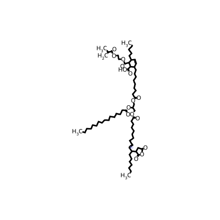 C=C(C)C(=O)OCCOC(=O)C1C(CCCCC)C=CC(CCCCCCCCC(=O)OCC(COC(=O)CCCCCCC/C=C/C(CCCCCCC)C2CC(=O)OC2=O)OC(=O)CCCCCCCCCCCCCCC)C1C(=O)O